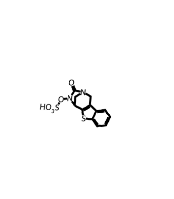 O=C1N2Cc3c(sc4ccccc34)C(C2)N1OS(=O)(=O)O